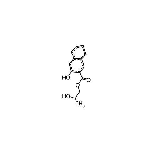 CC(O)COC(=O)c1cc2ccccc2cc1O